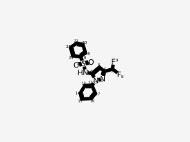 O=S(=O)(Nc1cc(C(F)F)nn1-c1ccccc1)c1ccccc1